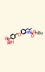 CCCCOC(=O)NC(C)Cc1ccc(OCc2ccc([PH](=O)O)cc2)cc1